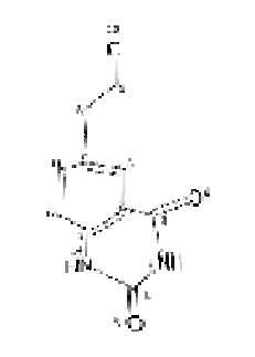 O=c1[nH]c(=O)c2cc(CCCl)ccc2[nH]1